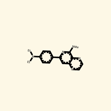 CCN(CC)c1ccc(-c2cc3nccnc3c(NC)n2)cc1